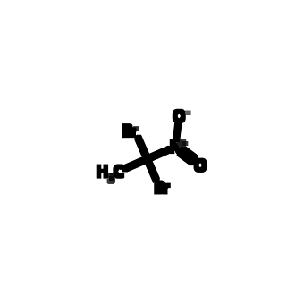 CC(Br)(Br)[N+](=O)[O-]